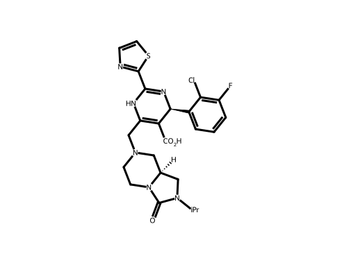 CC(C)N1C[C@@H]2CN(CC3=C(C(=O)O)[C@H](c4cccc(F)c4Cl)N=C(c4nccs4)N3)CCN2C1=O